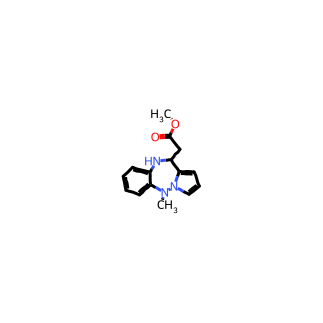 COC(=O)CC1Nc2ccccc2N(C)n2cccc21